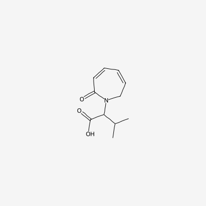 CC(C)C(C(=O)O)N1CC=CC=CC1=O